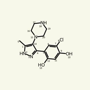 Cc1[nH]nc(-c2cc(Cl)c(O)cc2O)c1N1CCNCC1